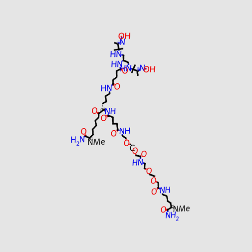 CN[C@@H](CCCCCC(=O)[C@H](CCCCNC(=O)CCCC(=O)NC(CNC(C)(C)/C(C)=N/O)CNC(C)(C)/C(C)=N/O)NC(=O)CCCC(=O)NCCOCCOCC(=O)NCCOCCOCC(=O)NCCCC[C@H](NC)C(N)=O)C(N)=O